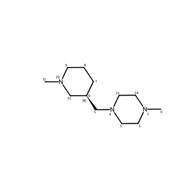 CN1CCN(C[C@@H]2CCCN(C)C2)CC1